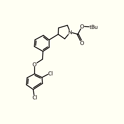 CC(C)(C)OC(=O)N1CCC(c2cccc(COc3ccc(Cl)cc3Cl)c2)C1